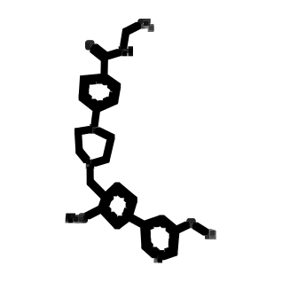 CCOc1cncc(-c2ccc(CN3CCN(c4ccc(C(=O)NCC(F)(F)F)cc4)CC3)c(OC)c2)c1